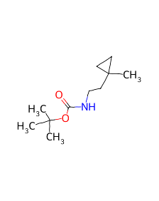 CC1(CCNC(=O)OC(C)(C)C)CC1